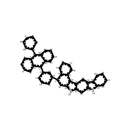 c1ccc(-c2c3ccccc3c(-c3cccc(-c4cc5sc6cc7sc8ccccc8c7cc6c5c5ccccc45)c3)c3ccccc23)cc1